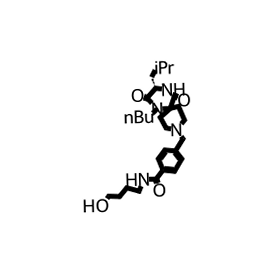 CCCCN1C(=O)[C@H](CC(C)C)NC(=O)C12CCN(Cc1ccc(C(=O)NCCCCO)cc1)CC2